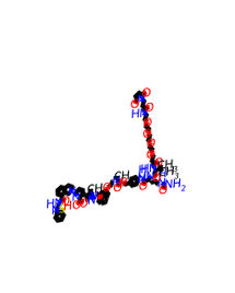 Cc1c(-c2ccc(N3CCc4cccc(C(=O)Nc5nc6ccccc6s5)c4C3)nc2C(=O)O)cnn1CC12CC3CC(C1)CC(OCCN(C)C(=O)OCc1ccc(NC(=O)[C@H](CCCNC(N)=O)NC(=O)[C@@H](NC(=O)CCOCCOCCOCCOCCNC(=O)CCN4C(=O)C=CC4=O)C(C)C)cc1)(C3)C2